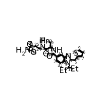 CCC(CC)n1c(Cc2cccs2)nc2cc(C(=O)NC(CC(C)C)C(=O)NCCS(N)(=O)=O)ccc21